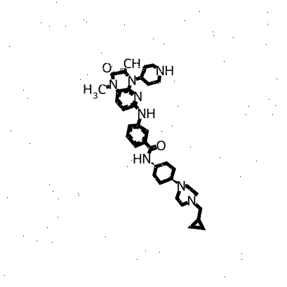 C[C@@H]1C(=O)N(C)c2ccc(Nc3cccc(C(=O)N[C@H]4CC[C@H](N5CCN(CC6CC6)CC5)CC4)c3)nc2N1C1CCNCC1